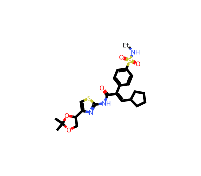 CCNS(=O)(=O)c1ccc(/C(=C\C2CCCC2)C(=O)Nc2nc(C3COC(C)(C)O3)cs2)cc1